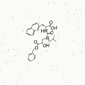 CC(C)CN(C[C@@H](O)C(=O)OCc1ccccc1)C(=O)N[C@@H](Cc1ccc2ccccc2c1)C(=O)O